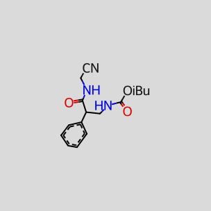 CC(C)COC(=O)NCC(C(=O)NCC#N)c1ccccc1